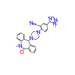 CN1C(=O)c2ccccc2C(N2CCN(c3ccc(-c4ncnn4C)cc3C#N)CC2)c2ccccc21